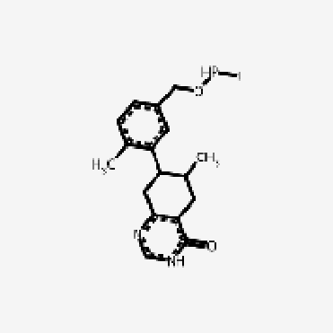 Cc1ccc(COPI)cc1C1Cc2nc[nH]c(=O)c2CC1C